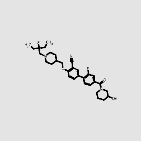 CCC(F)(CC)CN1CCC(COc2ccc(-c3ccc(C(=O)N4CCCC(O)C4)cc3F)cc2C#N)CC1